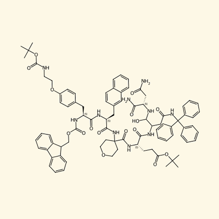 CC(C)(C)OC(=O)CC[C@H](NC(=O)C1(NC(=O)[C@H](Cc2ccc3ccccc3c2)NC(=O)[C@H](Cc2ccc(OCCNC(=O)OC(C)(C)C)cc2)NC(=O)OCC2c3ccccc3-c3ccccc32)CCOCC1)C(=O)NC(CC(=O)NC(c1ccccc1)(c1ccccc1)c1ccccc1)C(O)N[C@@H](CC(N)=O)C(N)=O